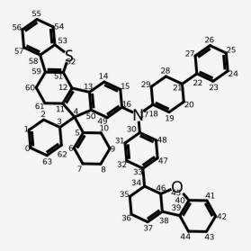 C1=CCC(C2(C3=CCCCC3)C3=C(c4ccc(N(C5=CCC(c6ccccc6)CC5)c5ccc(C6CCC=C7C8=C(C=CCC8)OC76)cc5)cc42)c2sc4ccccc4c2CC3)C=C1